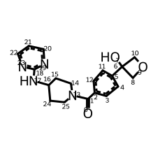 O=C(c1ccc(C2(O)COC2)cc1)N1CCC(Nc2ncccn2)CC1